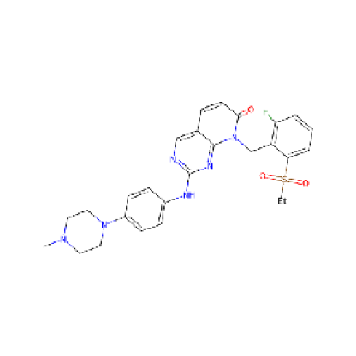 CCS(=O)(=O)c1cccc(F)c1Cn1c(=O)ccc2cnc(Nc3ccc(N4CCN(C)CC4)cc3)nc21